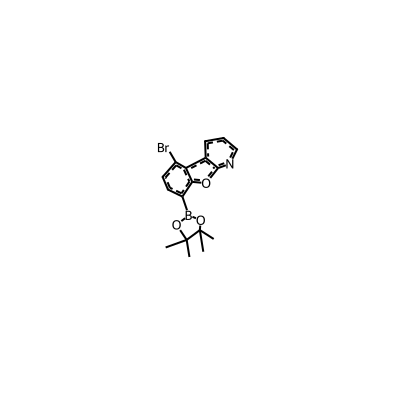 CC1(C)OB(c2ccc(Br)c3c2oc2ncccc23)OC1(C)C